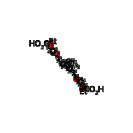 CCOC(Cc1ccc(OCCCc2ccc(-c3ccc(CCCOc4ccc(C[C@H](OCC)C(=O)O)cc4)cc3C(F)(F)F)c(C(F)(F)F)c2)cc1)C(=O)O